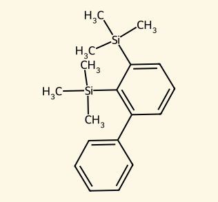 C[Si](C)(C)c1cccc(-c2ccccc2)c1[Si](C)(C)C